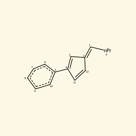 CCCC=C1[C]=C(c2ccccc2)C=C1